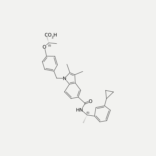 Cc1c(C)n(Cc2ccc(O[C@@H](C)C(=O)O)cc2)c2ccc(C(=O)N[C@@H](C)c3cccc(C4CC4)c3)cc12